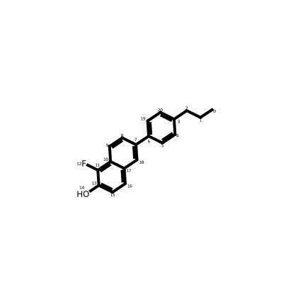 CCCc1ccc(-c2ccc3c(F)c(O)ccc3c2)cc1